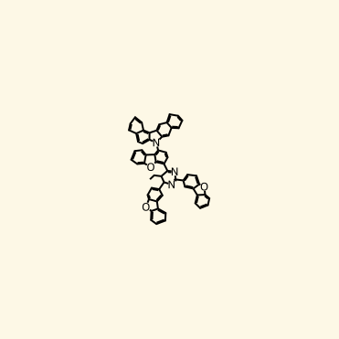 CCC1C(c2ccc(-n3c4cc5ccccc5cc4c4c5ccccc5ccc43)c3c2oc2ccccc23)=NC(c2ccc3oc4ccccc4c3c2)=NC1c1ccc2oc3ccccc3c2c1